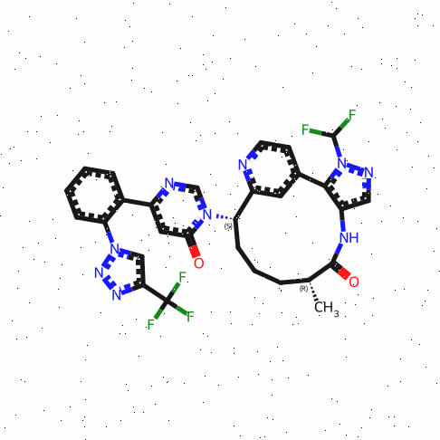 C[C@@H]1CCC[C@H](n2cnc(-c3ccccc3-n3cc(C(F)(F)F)nn3)cc2=O)c2cc(ccn2)-c2c(cnn2C(F)F)NC1=O